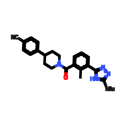 CCCCc1nnc(-c2cccc(C(=O)N3CCC(c4ccc(C#N)cc4)CC3)c2C)[nH]1